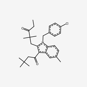 CCC(=O)C(C)(C)Cc1c(C(=O)CC(C)(C)C)c2cc(C)ccc2n1Cc1ccc(Cl)cc1